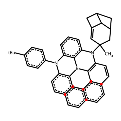 CC(C)(C)c1ccc(N2c3cccc(-c4ccccc4)c3B3C4=C(C=CCC4c4ccccc4)N(C4(C)C=C5CC6CC(C4)C56)c4cccc2c43)cc1